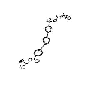 CCCCCC[C@@H](C)OC(=O)c1ccc(-c2ccc(-c3ccc(C(=O)OC[C@@H](C#N)CCC)cc3)cc2)cc1